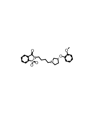 COc1ccccc1O[C@@H]1CCN(CCCCN2C(=O)c3ccccc3S2(=O)=O)C1